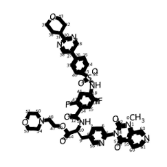 Cn1c(=O)n(-c2ccc(C[C@H](NC(=O)c3cc(F)c(NS(=O)(=O)c4ccc(-c5cnc(C6CCOCC6)nc5)cc4)cc3F)C(=O)OCCN3CCOCC3)cn2)c(=O)c2ccncc21